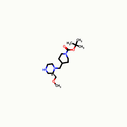 COC[C@H]1CNCCN1CC1CCN(C(=O)OC(C)(C)C)CC1